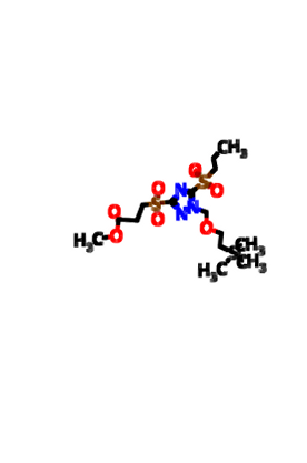 CCCS(=O)(=O)c1nc(S(=O)(=O)CCC(=O)OC)nn1COCC[Si](C)(C)C